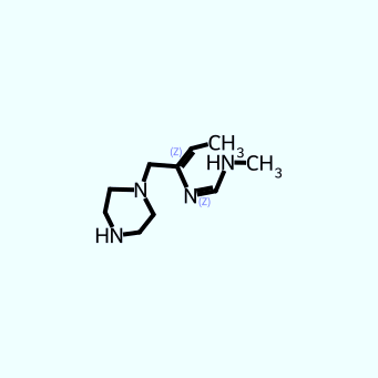 C/C=C(CN1CCNCC1)\N=C/NC